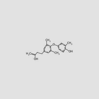 C=C(O)CCc1cc(C)c(Oc2ccc(O)c(C)c2)c(C)c1